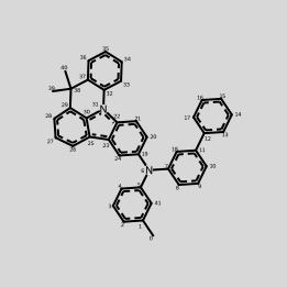 Cc1cccc(N(c2cccc(-c3ccccc3)c2)c2ccc3c(c2)c2cccc4c2n3-c2ccccc2C4(C)C)c1